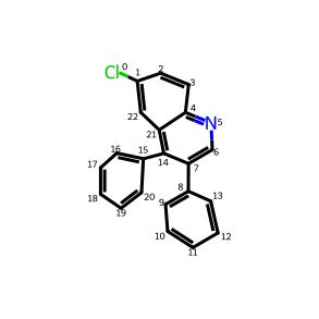 Clc1ccc2ncc(-c3ccccc3)c(-c3ccccc3)c2c1